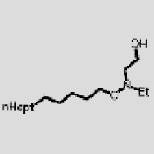 CCCCCCCCCCCCON(CC)CCO